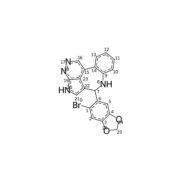 Brc1cc2c(cc1C1Nc3ccccc3-c3cnnc4[nH]cc1c34)OCO2